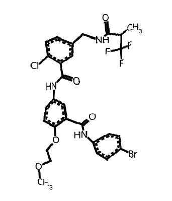 COCCOc1ccc(NC(=O)c2cc(CNC(=O)C(C)C(F)(F)F)ccc2Cl)cc1C(=O)Nc1ccc(Br)cc1